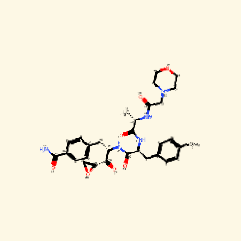 COc1ccc(C[C@H](NC(=O)[C@H](C)NC(=O)CN2CCOCC2)C(=O)N[C@@H](Cc2ccc(C(N)=O)cc2)C(=O)[C@H]2CO2)cc1